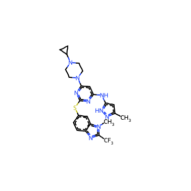 Cc1cc(Nc2cc(N3CCN(C4CC4)CC3)nc(Sc3ccc4nc(C(F)(F)F)n(C)c4c3)n2)[nH]n1